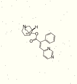 O=C(O[C@H]1CN2CCC1CC2)C(=Cc1ccncn1)c1ccccc1